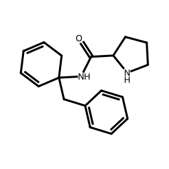 O=C(NC1(Cc2ccccc2)C=CC=CC1)C1CCCN1